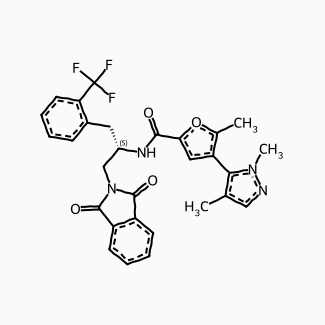 Cc1cnn(C)c1-c1cc(C(=O)N[C@@H](Cc2ccccc2C(F)(F)F)CN2C(=O)c3ccccc3C2=O)oc1C